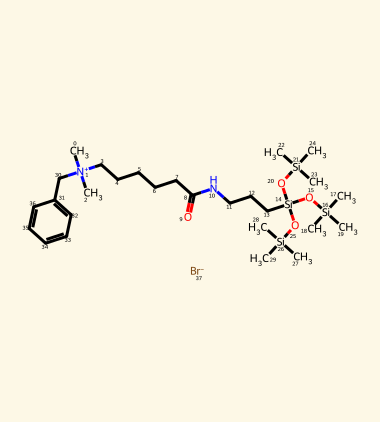 C[N+](C)(CCCCCC(=O)NCCC[Si](O[Si](C)(C)C)(O[Si](C)(C)C)O[Si](C)(C)C)Cc1ccccc1.[Br-]